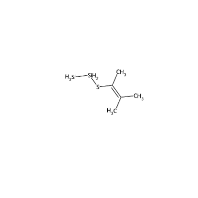 CC(C)=C(C)S[SiH2][SiH3]